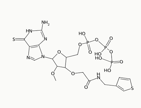 COC1C(OCC(=O)NCc2ccsc2)C(COP(=O)(O)OP(=O)(O)OP(=O)(O)O)OC1n1cnc2c(=S)[nH]c(N)nc21